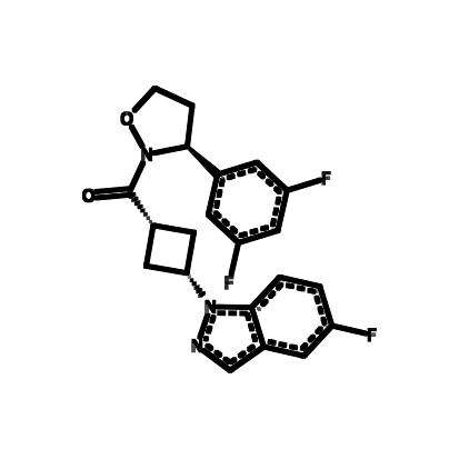 O=C([C@H]1C[C@@H](n2ncc3cc(F)ccc32)C1)N1OCC[C@H]1c1cc(F)cc(F)c1